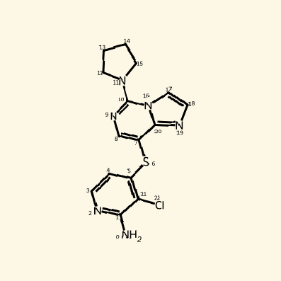 Nc1nccc(Sc2cnc(N3CCCC3)n3ccnc23)c1Cl